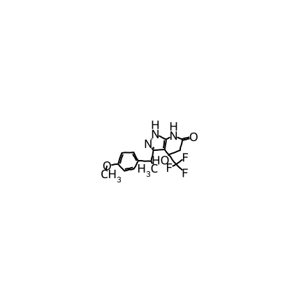 COc1ccc(C(C)c2n[nH]c3c2C(O)(C(F)(F)F)CC(=O)N3)cc1